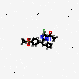 O=C(c1[nH]c(C(CC2CCCC2)c2ccc(S(=O)(=O)C3CC3)cc2)nc1F)C1CC1